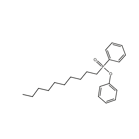 CCCCCCCCCCP(=O)(Oc1ccccc1)c1ccccc1